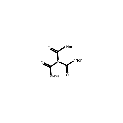 CCCCCCCCCC(=O)N(C(=O)CCCCCCCCC)C(=O)CCCCCCCCC